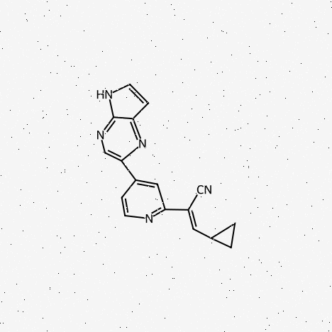 N#C/C(=C\C1CC1)c1cc(-c2cnc3[nH]ccc3n2)ccn1